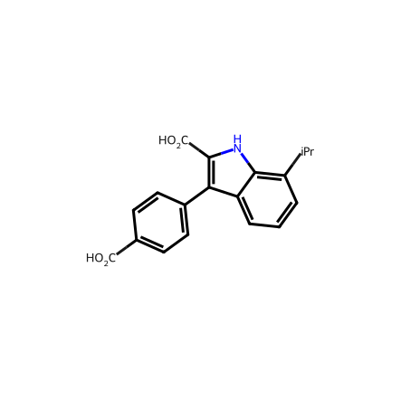 CC(C)c1cccc2c(-c3ccc(C(=O)O)cc3)c(C(=O)O)[nH]c12